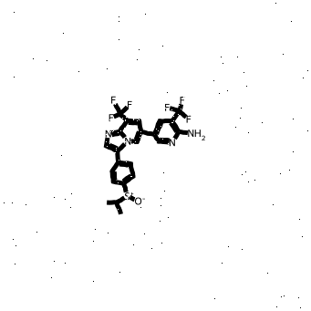 CC(C)[S+]([O-])c1ccc(-c2cnc3c(C(F)(F)F)cc(-c4cnc(N)c(C(F)(F)F)c4)cn23)cc1